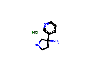 Cl.NC1(c2cccnc2)CCNC1